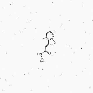 Cc1cccc2c1/C(=C/C(=O)NC1CC1)CC2